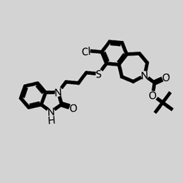 CC(C)(C)OC(=O)N1CCc2ccc(Cl)c(SCCCn3c(=O)[nH]c4ccccc43)c2CC1